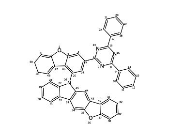 C1=c2oc3cc(-c4nc(-c5ccccc5)nc(-c5ccccc5)n4)cc(-n4c5ccccc5c5cc6oc7ccccc7c6cc54)c3c2=CCC1